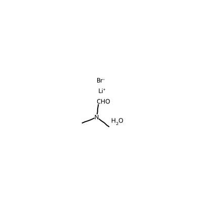 CN(C)C=O.O.[Br-].[Li+]